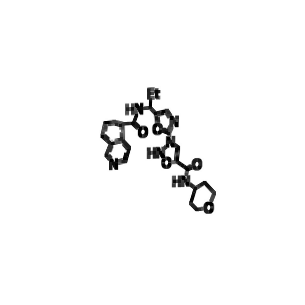 CCC(NC(=O)c1cccc2cnccc12)c1cnc(N2C=C(C(=O)NC3CCOCC3)ON2)o1